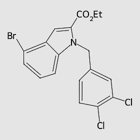 CCOC(=O)c1cc2c(Br)cccc2n1Cc1ccc(Cl)c(Cl)c1